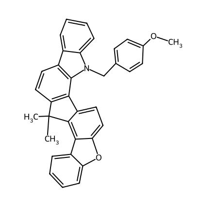 COc1ccc(Cn2c3ccccc3c3ccc4c(c32)-c2ccc3oc5ccccc5c3c2C4(C)C)cc1